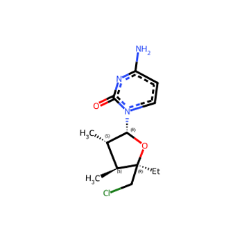 CC[C@@]1(CCl)O[C@@H](n2ccc(N)nc2=O)[C@@H](C)[C@@H]1C